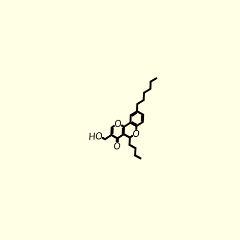 CCCCCCc1ccc2c(c1)-c1occ(CO)c(=O)c1C(CCCC)O2